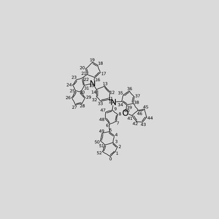 c1ccc2cc(-c3ccc(N(c4ccc(-n5c6ccccc6c6ccc7ccccc7c65)cc4)c4cccc5c4oc4ccccc45)cc3)ccc2c1